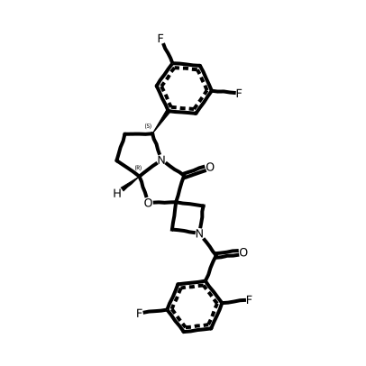 O=C(c1cc(F)ccc1F)N1CC2(C1)O[C@@H]1CC[C@@H](c3cc(F)cc(F)c3)N1C2=O